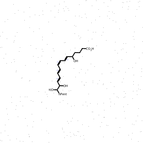 CCCCCC(O)C(O)/C=C/C=C/C=C\C=C\C(O)CCCC(=O)O